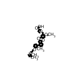 CCOc1cc(O[C@H]2CCc3c(-c4cccc(OCCCN5CCC5(C)C)c4C)cccc32)c(Cl)cc1CN1CC[C@H](C(=O)O)C1